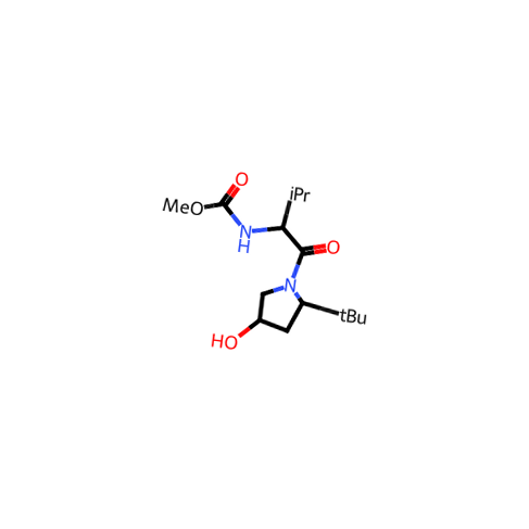 COC(=O)NC(C(=O)N1CC(O)CC1C(C)(C)C)C(C)C